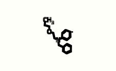 CCCOCCN(Cc1ccccc1)c1cc[c]cc1